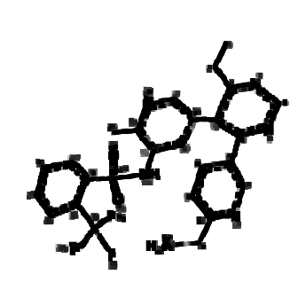 CCc1ncnc(-c2ccc(CN)nc2)c1-c1cnc(C)c(NS(=O)(=O)c2ccccc2C(F)(F)F)c1